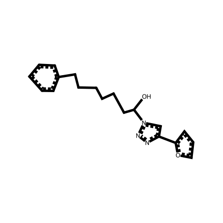 OC(CCCCCCc1ccccc1)n1cc(-c2ccco2)nn1